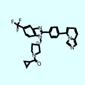 O=C(C1CC1)N1CC[C@H](Cn2c(-c3ccc(-c4cccc5cncn45)cc3)nc3cc(C(F)(F)F)ccc32)C1